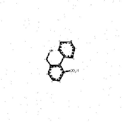 O=C(O)c1cccc(CS)c1-c1ccccc1